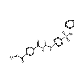 COC(=O)c1ccc(C(=O)NC(=S)Nc2ccc(S(=O)(=O)Nc3ccccc3)cc2)cc1